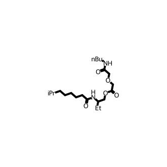 CCCCNC(=O)COCC(=O)OCC(CC)NC(=O)CCCCCC(C)C